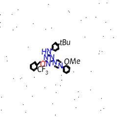 COc1ccccc1N1CCN(c2nc(Nc3ccc(C(C)(C)C)cc3)nc(OCc3ccccc3C(F)(F)F)n2)CC1